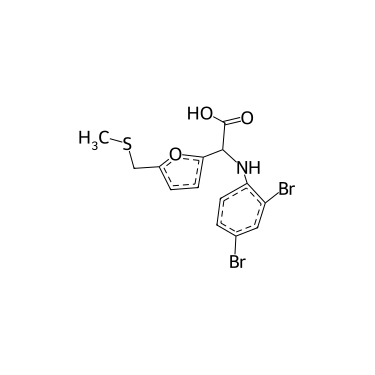 CSCc1ccc(C(Nc2ccc(Br)cc2Br)C(=O)O)o1